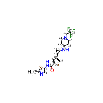 Cc1ncc(NC(=O)c2cc(C3CC3NC3CCN(CC(F)(F)F)CC3)cs2)s1